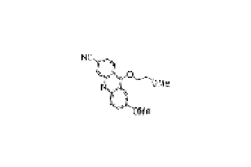 COCCOc1c2ccc(C#N)cc2nc2ccc(OC)cc12